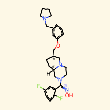 O/N=C(\c1cc(F)ccc1F)N1CCN2C[C@H](COc3cccc(CN4CCCC4)c3)CC[C@H]2C1